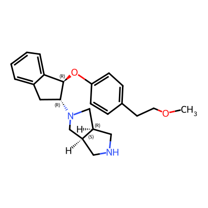 COCCc1ccc(O[C@@H]2c3ccccc3C[C@H]2N2C[C@H]3CNC[C@H]3C2)cc1